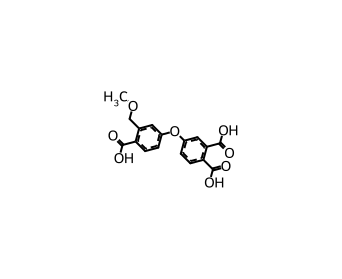 COCc1cc(Oc2ccc(C(=O)O)c(C(=O)O)c2)ccc1C(=O)O